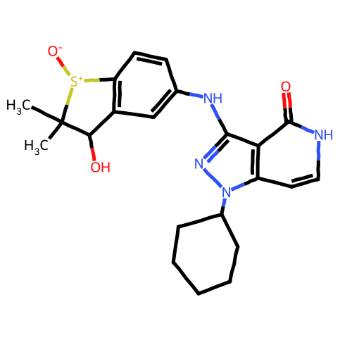 CC1(C)C(O)c2cc(Nc3nn(C4CCCCC4)c4cc[nH]c(=O)c34)ccc2[S+]1[O-]